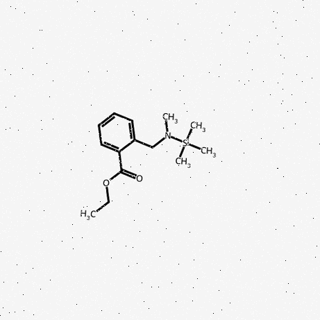 CCOC(=O)c1ccccc1CN(C)[Si](C)(C)C